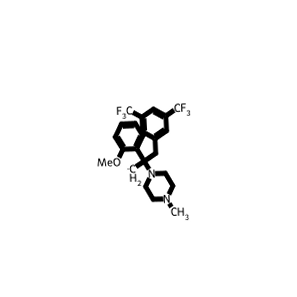 [CH2]C(Cc1cc(C(F)(F)F)cc(C(F)(F)F)c1)(c1ccccc1OC)N1CCN(C)CC1